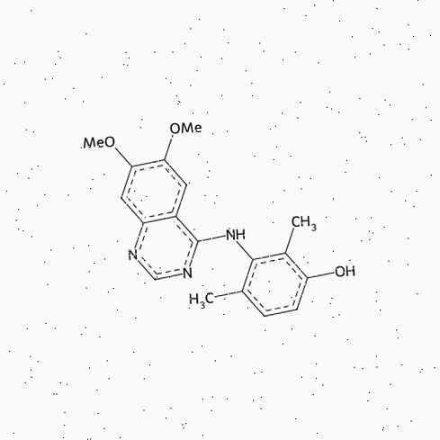 COc1cc2ncnc(Nc3c(C)ccc(O)c3C)c2cc1OC